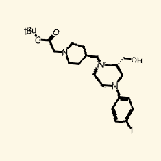 CC(C)(C)OC(=O)CN1CCC(CN2CCN(c3ccc(I)cc3)C[C@H]2CO)CC1